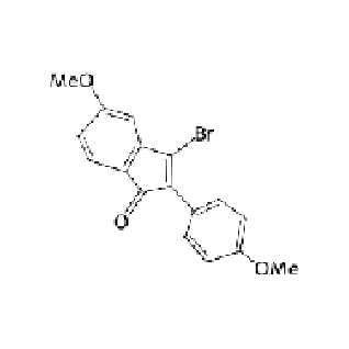 COc1ccc(C2=C(Br)c3cc(OC)ccc3C2=O)cc1